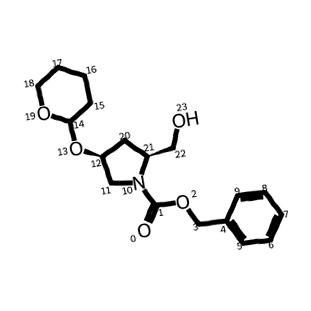 O=C(OCc1ccccc1)N1C[C@@H](OC2CCCCO2)C[C@H]1CO